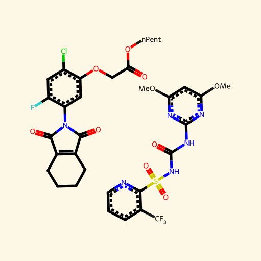 CCCCCOC(=O)COc1cc(N2C(=O)C3=C(CCCC3)C2=O)c(F)cc1Cl.COc1cc(OC)nc(NC(=O)NS(=O)(=O)c2ncccc2C(F)(F)F)n1